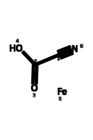 N#CC(=O)O.[Fe]